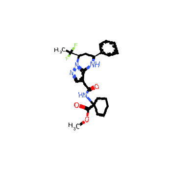 COC(=O)C1(NC(=O)c2cnn3c2N[C@H](c2ccccc2)C[C@@H]3C(C)(F)F)CCCCC1